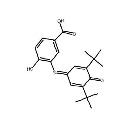 CC(C)(C)C1=CC(=Nc2cc(C(=O)O)ccc2O)C=C(C(C)(C)C)C1=O